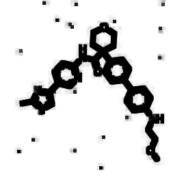 COCCNc1ccc(-c2ccc(C3(C(=O)Nc4ccc(-c5csc(C)n5)cn4)CCOCC3)cc2)cc1